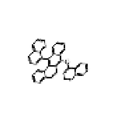 c1ccc2c(Oc3c4ccccc4c(-c4cccc5ccccc45)c4c3ccc3ccccc34)cccc2c1